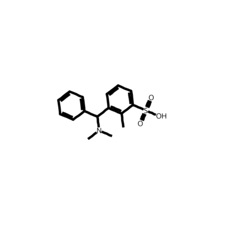 Cc1c(C(c2ccccc2)N(C)C)cccc1S(=O)(=O)O